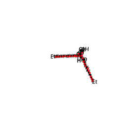 CCC=CCC=CCC=CCC=CCC=CCC=CCCC(=O)NCCCC(NC(=O)CCC=CCC=CCC=CCC=CCC=CCC=CCC)C(=O)OC(CO)CO